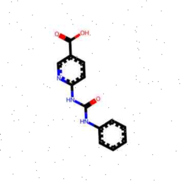 O=C(Nc1ccccc1)Nc1ccc(C(=O)O)cn1